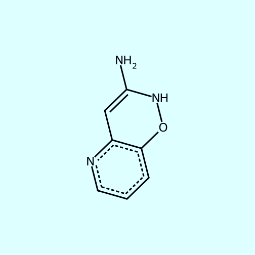 NC1=Cc2ncccc2ON1